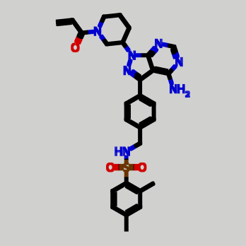 C=CC(=O)N1CCCC(n2nc(-c3ccc(CNS(=O)(=O)c4ccc(C)cc4C)cc3)c3c(N)ncnc32)C1